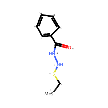 CSCSNNC(=O)c1ccccc1